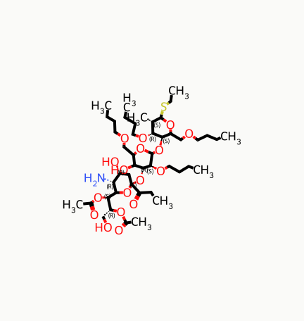 CCCCOCC1OC(O[C@@H]2C(COCCCC)OC(SCC)[C@@H](C)[C@H]2OCCCC)[C@@H](OCCCC)[C@H](O[C@]2(C(=O)CC)C[C@@H](O)[C@@H](N)C([C@H](OC(C)=O)[C@@H](CO)OC(C)=O)O2)C1O